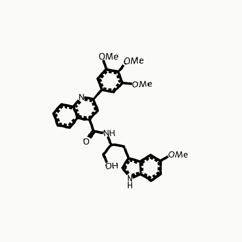 COc1ccc2[nH]cc(CC(CO)NC(=O)c3cc(-c4cc(OC)c(OC)c(OC)c4)nc4ccccc34)c2c1